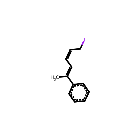 C/C(=C\C=C/CI)c1ccccc1